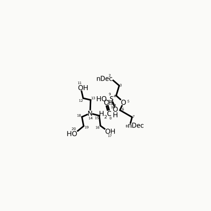 C=C.CCCCCCCCCCCCOCCCCCCCCCCCC.O=S(=O)(O)O.OCCN(CCO)CCO